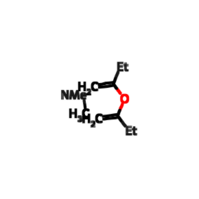 C=C(CC)OC(=C)CC.CNC